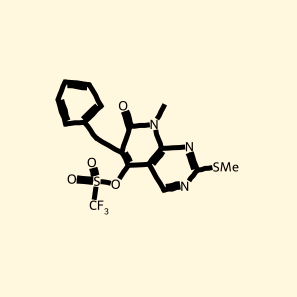 CSc1ncc2c(OS(=O)(=O)C(F)(F)F)c(Cc3ccccc3)c(=O)n(C)c2n1